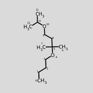 CCCCOC(C)(C)CCOC(C)C